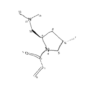 C=CC(=O)N1C[C@@H](C)C[C@@H]1CN(C)C